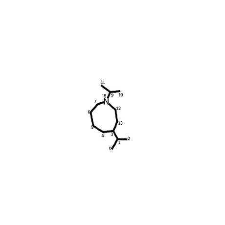 CC(C)C1CCCCN(C(C)C)CC1